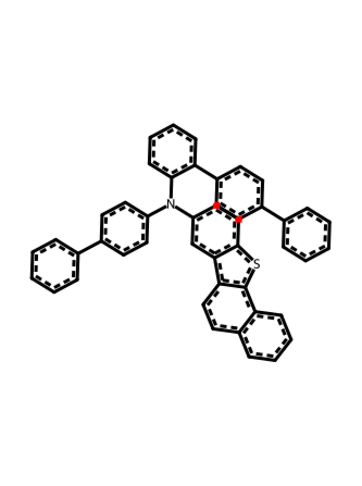 c1ccc(-c2ccc(-c3ccccc3N(c3ccc(-c4ccccc4)cc3)c3ccc4sc5c6ccccc6ccc5c4c3)cc2)cc1